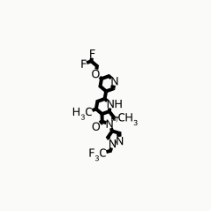 CC1CC(C2C=NCC(OCC(F)F)C2)NC2C1C(=O)N(C1C=NN(CC(F)(F)F)C1)[C@H]2C